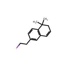 CC1(C)CC=Cc2cc(CCI)ccc21